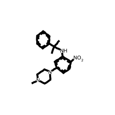 CN1CCN(c2ccc([N+](=O)[O-])c(NC(C)(C)c3ccccc3)c2)CC1